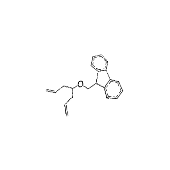 C=CCC(CC=C)OCC1c2ccccc2-c2ccccc21